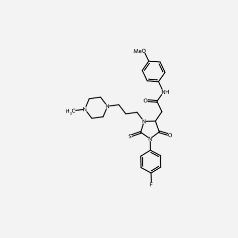 COc1ccc(NC(=O)CC2C(=O)N(c3ccc(F)cc3)C(=S)N2CCCN2CCN(C)CC2)cc1